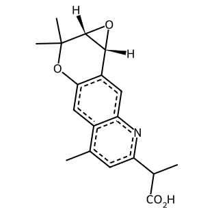 Cc1cc(C(C)C(=O)O)nc2cc3c(cc12)OC(C)(C)[C@@H]1O[C@H]31